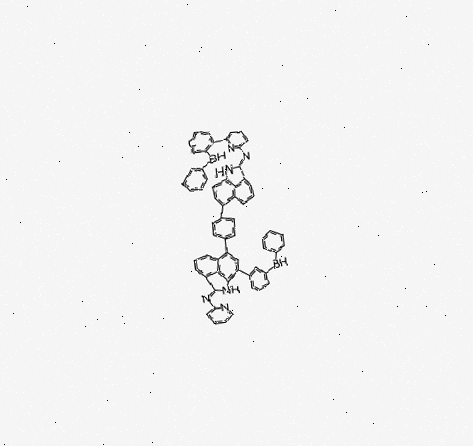 B(c1ccccc1)c1cccc(-c2cc(-c3ccc(-c4ccc5c6c(cccc46)/C(=N/c4cccc(-c6ccccc6Bc6ccccc6)n4)N5)cc3)c3cccc4c3c2N/C4=N\c2ccccn2)c1